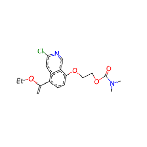 C=C(OCC)c1ccc(OCCOC(=O)N(C)C)c2cnc(Cl)cc12